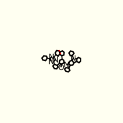 c1ccc(-c2cc(-n3c4ccccc4c4cc5c6ccccc6n(-c6ccccc6)c5cc43)c3oc4cccc(-c5nc(-c6ccccc6)nc(-c6ccccc6)n5)c4c3c2)cc1